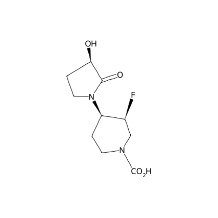 O=C(O)N1CC[C@@H](N2CC[C@@H](O)C2=O)[C@@H](F)C1